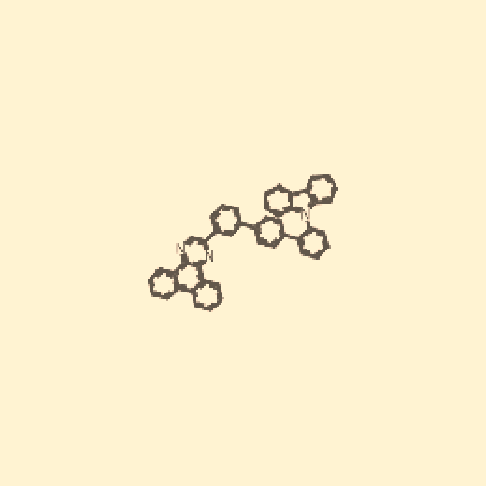 c1cc(-c2ccc(-c3ccccc3-n3c4ccccc4c4ccccc43)cc2)cc(-c2cnc3c4ccccc4c4ccccc4c3n2)c1